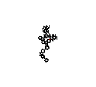 c1ccc(-c2ccc3oc4ccc(-c5cccc(-n6c7ccccc7c7c6ccc6c8ccccc8n(-c8cc(-c9cnc%10cncnc%10n9)nc(-c9cnc%10ncncc%10n9)n8)c67)c5)cc4c3c2)cc1